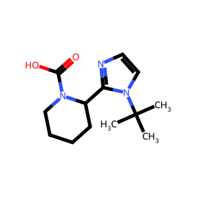 CC(C)(C)n1ccnc1C1CCCCN1C(=O)O